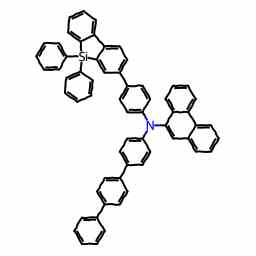 c1ccc(-c2ccc(-c3ccc(N(c4ccc(-c5ccc6c(c5)[Si](c5ccccc5)(c5ccccc5)c5ccccc5-6)cc4)c4cc5ccccc5c5ccccc45)cc3)cc2)cc1